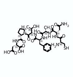 C[C@H](NC(=O)[C@H](CC(N)=O)NC(=O)[C@@H](N)CS)C(=O)N[C@@H](Cc1ccccc1)C(=O)N[C@H](C(=O)N1CCC[C@H]1C(=O)N[C@@H](CC(=O)O)C(=O)O)[C@@H](C)O